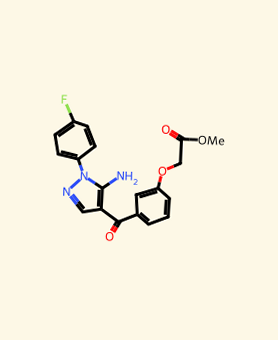 COC(=O)COc1cccc(C(=O)c2cnn(-c3ccc(F)cc3)c2N)c1